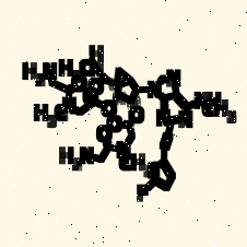 CNC(=O)[C@@]12CC1C(n1cnc3c(NC)nc(C#Cc4ccc(F)s4)nc31)[C@H](OC(=O)CN(C)C(=O)CN)[C@@H]2OC(=O)CN(C)C(=O)CN